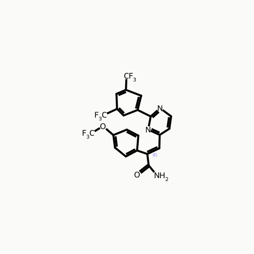 NC(=O)/C(=C/c1ccnc(-c2cc(C(F)(F)F)cc(C(F)(F)F)c2)n1)c1ccc(OC(F)(F)F)cc1